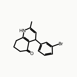 CC1=CC(c2cccc(Br)c2)C2=C(CCCC2=O)N1